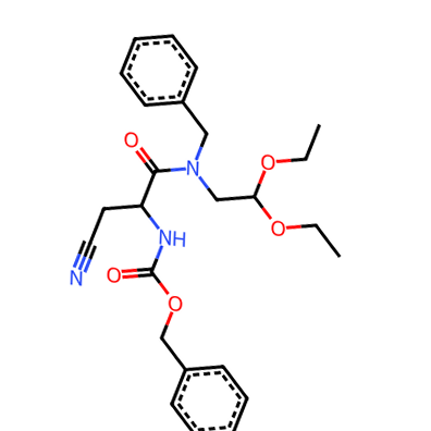 CCOC(CN(Cc1ccccc1)C(=O)C(CC#N)NC(=O)OCc1ccccc1)OCC